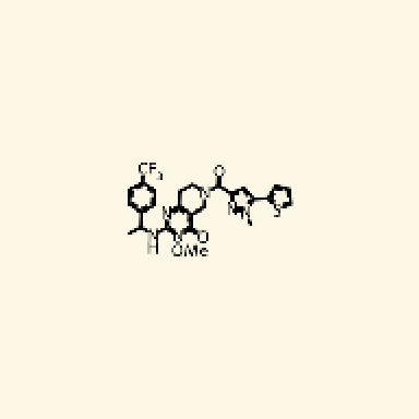 COn1c(NC(C)c2ccc(C(F)(F)F)cc2)nc2c(c1=O)CN(C(=O)c1cc(-c3cccs3)n(C)n1)CC2